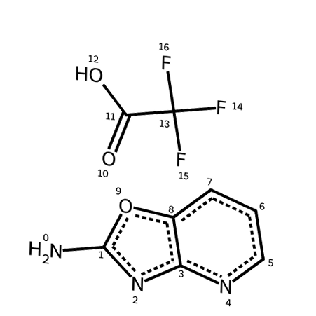 Nc1nc2ncccc2o1.O=C(O)C(F)(F)F